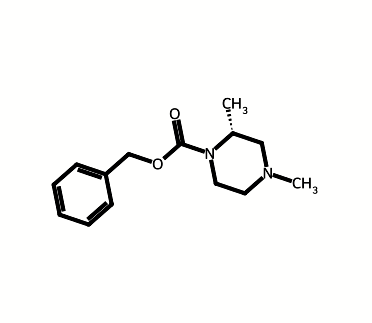 C[C@@H]1CN(C)CCN1C(=O)OCc1ccccc1